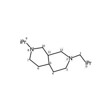 CC(C)CN1CCC2CCN(C(C)C)CC2C1